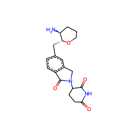 N[C@H]1CCCO[C@@H]1Cc1ccc2c(c1)CN(C1CCC(=O)NC1=O)C2=O